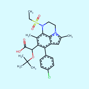 CCS(=O)(=O)N1CCn2c(C)cc3c(-c4ccc(Cl)cc4)c(C(OC(C)(C)C)C(=O)O)c(C)c1c32